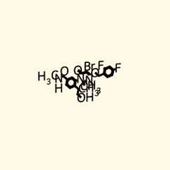 CNC(=O)c1ccc(C(C)CO)c(-n2c(C)nc(OCc3ccc(F)cc3F)c(Br)c2=O)c1